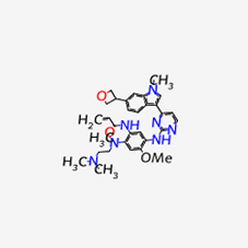 C=CC(=O)Nc1cc(Nc2nccc(-c3cn(C)c4cc(C5COC5)ccc34)n2)c(OC)cc1N(C)CCN(C)C